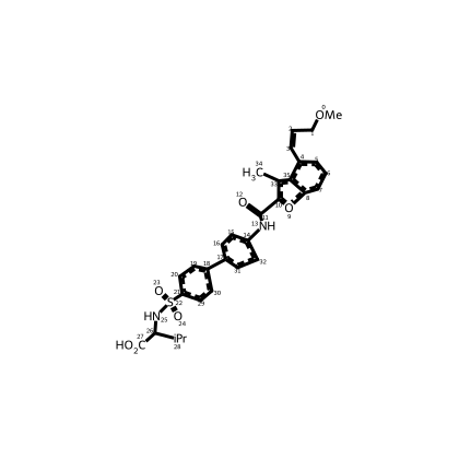 COC/C=C\c1cccc2oc(C(=O)Nc3ccc(-c4ccc(S(=O)(=O)NC(C(=O)O)C(C)C)cc4)cc3)c(C)c12